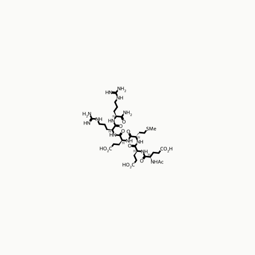 CSCC[C@H](NC(=O)[C@H](CCC(=O)O)NC(=O)[C@H](CCC(=O)O)NC(C)=O)C(=O)N[C@@H](CCC(=O)O)C(=O)N[C@@H](CCCNC(=N)N)C(=O)N[C@@H](CCCNC(=N)N)C(N)=O